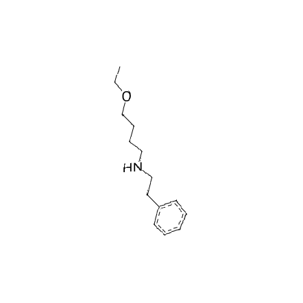 CCOCCCCNCCc1ccccc1